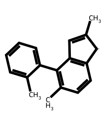 CC1=Cc2c(ccc(C)c2-c2ccccc2C)[CH]1